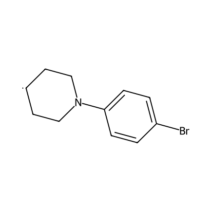 Brc1ccc(N2CC[CH]CC2)cc1